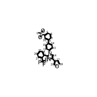 CS(=O)(=O)c1cccc(-c2ccc(-n3cc(-c4ccoc4)nc3-c3ccccc3C(F)(F)F)cc2)c1